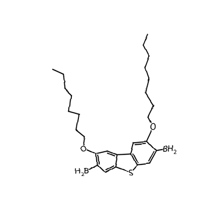 Bc1cc2sc3cc(B)c(OCCCCCCCC)cc3c2cc1OCCCCCCCC